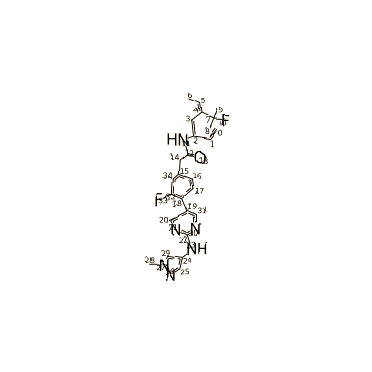 C=C/C(=C\C(=C/C)C(C)(C)F)NC(=O)Cc1ccc(-c2cnc(Nc3cnn(C)c3)nc2)c(F)c1